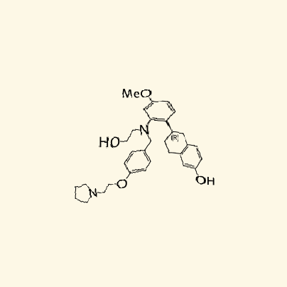 COc1ccc([C@@H]2CCc3cc(O)ccc3C2)c(N(CCO)Cc2ccc(OCCN3CCCC3)cc2)c1